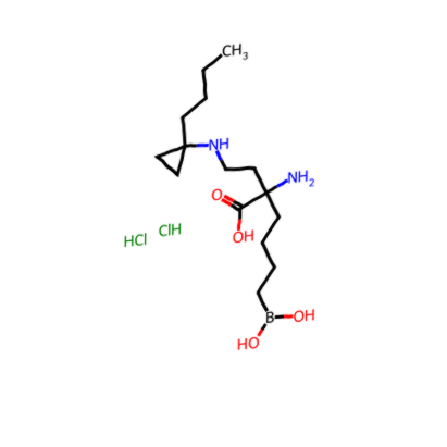 CCCCC1(NCCC(N)(CCCCB(O)O)C(=O)O)CC1.Cl.Cl